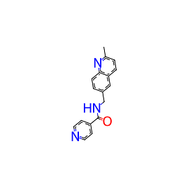 Cc1ccc2cc(CNC(=O)c3ccncc3)ccc2n1